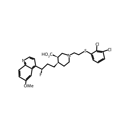 COc1ccc2nccc([C@H](F)CC[C@@H]3CCN(CCSc4cccc(Cl)c4Cl)C[C@@H]3C(=O)O)c2c1